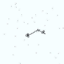 C=CC(=O)OCCC[N+](C)(C)CCCCCCCCCCS(=O)(=O)[O-]